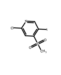 CS(=O)(=O)c1cc(Cl)ncc1I